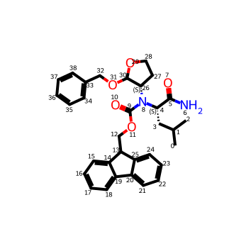 CC(C)C[C@@H](C(N)=O)N(C(=O)OCC1c2ccccc2-c2ccccc21)[C@H]1CCOC1OCc1ccccc1